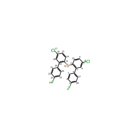 Fc1ccc(-c2cc(Cl)ccc2Sc2ccc(Cl)cc2-c2ccc(F)cc2)cc1